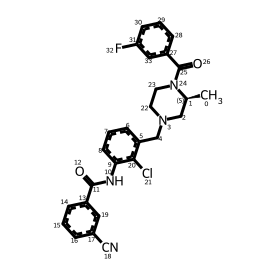 C[C@H]1CN(Cc2cccc(NC(=O)c3cccc(C#N)c3)c2Cl)CCN1C(=O)c1cccc(F)c1